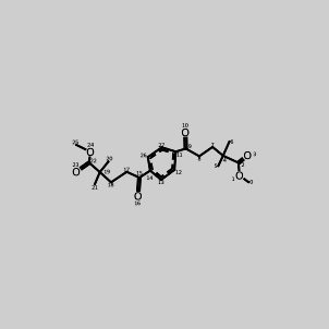 COC(=O)C(C)(C)CCC(=O)c1ccc(C(=O)CCC(C)(C)C(=O)OC)cc1